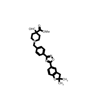 COC(=O)C1(C=O)CCN(Cc2ccc(-c3noc(-c4ccc5c(c4)CC(C)(C)O5)n3)cc2)CC1